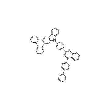 c1ccc(-c2ccc(-c3nc(-c4ccc(-n5c6ccccc6c6cc7c8ccccc8c8ccccc8c7cc65)cc4)nc4ccccc34)cc2)cc1